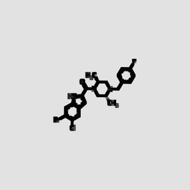 C[C@@H]1CN(C(=O)c2cc3cc(Cl)c(Br)cc3[nH]2)[C@@H](C)CN1Cc1ccc(F)cc1